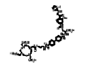 Cn1nc(CNc2ncc[nH]2)c2ccc(C(=O)NC[C@H](NS(=O)(=O)c3ccc(-c4ccc(S(=O)(=O)NCCNC(=O)CN5CCN(CC(=O)O)CCN(CC(=O)O)CCN(CC(=O)O)CC5)cc4)cc3)C(=O)O)cc21